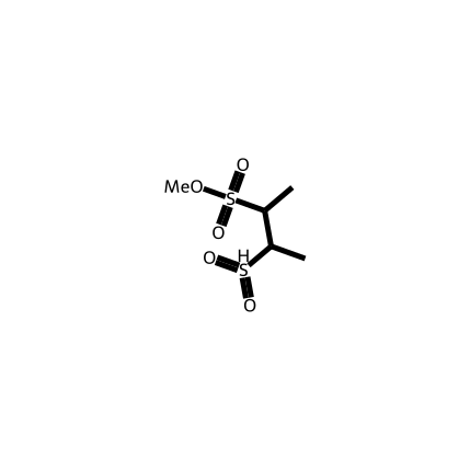 COS(=O)(=O)C(C)C(C)[SH](=O)=O